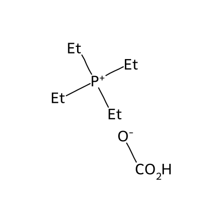 CC[P+](CC)(CC)CC.O=C([O-])O